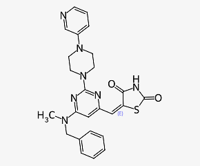 CN(Cc1ccccc1)c1cc(/C=C2/SC(=O)NC2=O)nc(N2CCN(c3cccnc3)CC2)n1